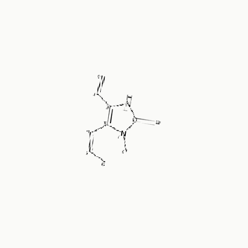 C=CC1=C(/C=C\C)N(C)C(=C)N1